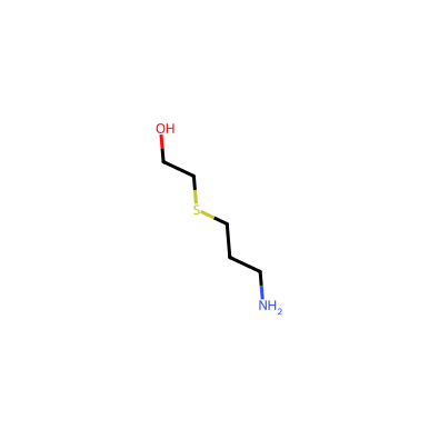 NCCCSCCO